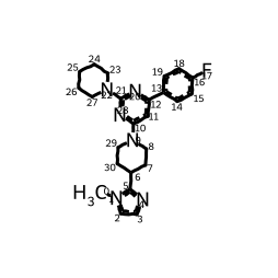 Cn1ccnc1C1CCN(c2cc(-c3ccc(F)cc3)nc(N3CCCCC3)n2)CC1